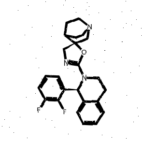 Fc1cccc([C@@H]2c3ccccc3CCN2C2=NC[C@@]3(CN4CCC3CC4)O2)c1F